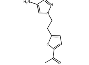 CC(=O)c1ccc(CCn2cc(N)cn2)o1